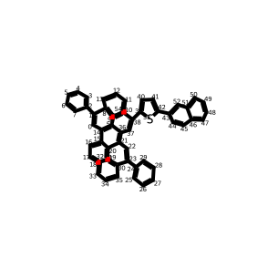 C(=C(c1ccccc1)c1ccccc1)c1c2ccccc2c(C=C(c2ccccc2)c2ccccc2)c2cc(-c3ccc(-c4ccc5ccccc5c4)s3)ccc12